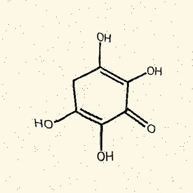 O=C1C(O)=C(O)CC(O)=C1O